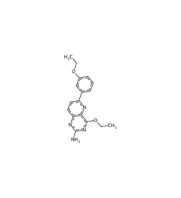 CCOc1cccc(-c2ccc3nc(N)nc(OCC)c3n2)c1